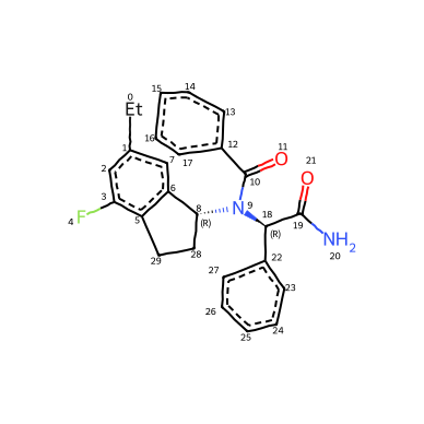 CCc1cc(F)c2c(c1)[C@H](N(C(=O)c1ccccc1)[C@@H](C(N)=O)c1ccccc1)CC2